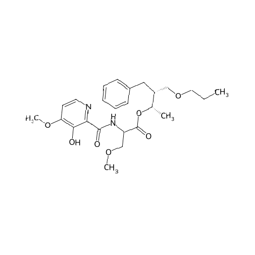 CCCOC[C@@H](Cc1ccccc1)[C@H](C)OC(=O)C(COC)NC(=O)c1nccc(OC)c1O